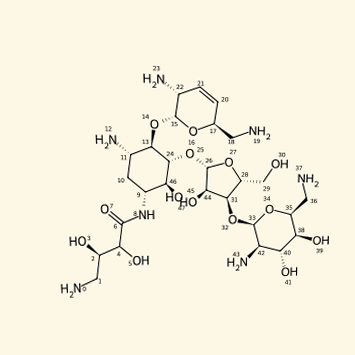 NC[C@@H](O)C(O)C(=O)N[C@@H]1C[C@H](N)[C@@H](O[C@H]2O[C@H](CN)C=C[C@H]2N)[C@H](O[C@@H]2O[C@H](CO)[C@@H](O[C@H]3O[C@@H](CN)[C@@H](O)[C@H](O)[C@H]3N)[C@H]2O)[C@H]1O